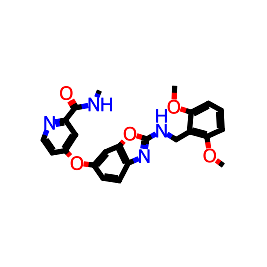 CNC(=O)c1cc(Oc2ccc3nc(NCc4c(OC)cccc4OC)oc3c2)ccn1